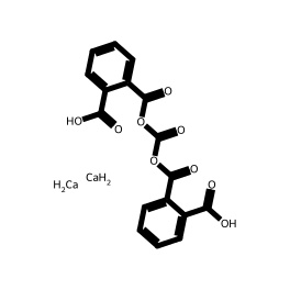 O=C(OC(=O)c1ccccc1C(=O)O)OC(=O)c1ccccc1C(=O)O.[CaH2].[CaH2]